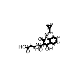 O=C(O)CCNC(=O)c1c(O)c2ccccc2n(OCC2CC2)c1=O